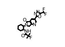 CC(C)(F)C(=O)N[C@@H]1CCCC[C@H]1N1Cc2ncc(-c3nnc(C(F)F)o3)cc2C1=O